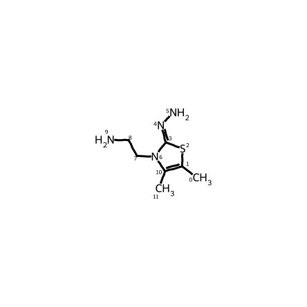 Cc1sc(=NN)n(CCN)c1C